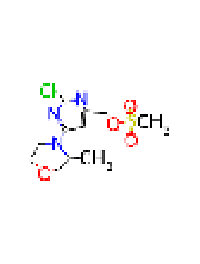 CC1COCCN1c1cc(COS(C)(=O)=O)nc(Cl)n1